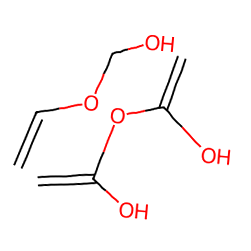 C=C(O)OC(=C)O.C=COCO